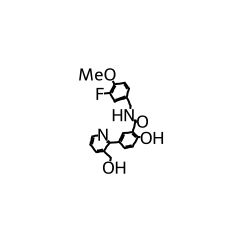 COc1ccc(CNC(=O)c2cc(-c3ncccc3CO)ccc2O)cc1F